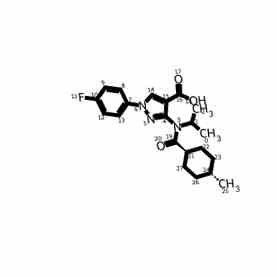 CC(C)N(c1nn(-c2ccc(F)cc2)cc1C(=O)O)C(=O)[C@H]1CC[C@H](C)CC1